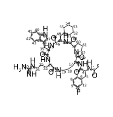 CC(=O)N[C@@H](Cc1cccc(F)c1)C(=O)N[C@H]1CCCNC(=O)C(CCCNC(=N)N)NC(=O)C(Cc2c[nH]c3ccccc23)NC(=O)[C@@H](CC2CCCCC2)NC(=O)C2CCCN2C1=O